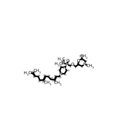 BC1CN(C)CC(COCP(=O)(N(C)C)N2CCN(C/C=C(\C)CC/C=C(\C)CCC=C(C)C)CC2)O1